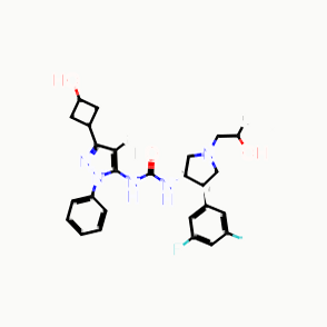 Cc1c(C2CC(O)C2)nn(-c2ccccc2)c1NC(=O)N[C@@H]1CN(CC(C)O)C[C@H]1c1cc(F)cc(F)c1